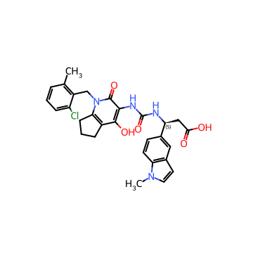 Cc1cccc(Cl)c1Cn1c2c(c(O)c(NC(=O)N[C@@H](CC(=O)O)c3ccc4c(ccn4C)c3)c1=O)CCC2